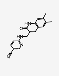 Cc1cc2cc(CNc3ccc(C#N)cn3)c(=O)[nH]c2cc1C